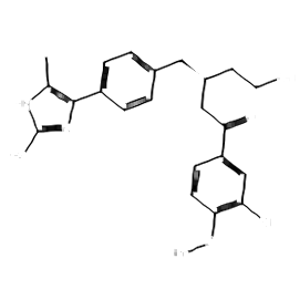 Cc1[nH]c(C(C)(C)C)nc1-c1ccc(C[C@@H](CCO)CC(=O)c2ccc(OC(C)C)c(Cl)c2)cc1